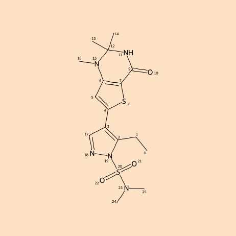 CCc1c(-c2cc3c(s2)C(=O)NC(C)(C)N3C)cnn1S(=O)(=O)N(C)C